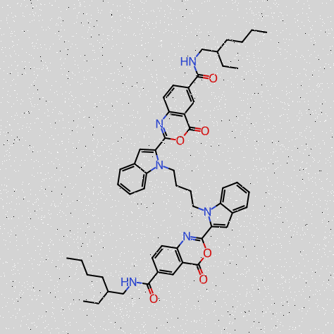 CCCCC(CC)CNC(=O)c1ccc2nc(-c3cc4ccccc4n3CCCCn3c(-c4nc5ccc(C(=O)NCC(CC)CCCC)cc5c(=O)o4)cc4ccccc43)oc(=O)c2c1